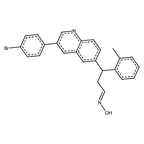 Cc1ccccc1C(CC=NO)c1ccc2ncc(-c3ccc(Br)cc3)cc2c1